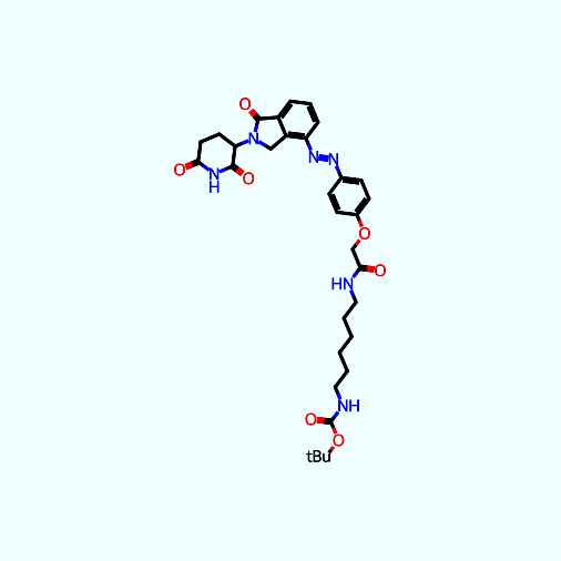 CC(C)(C)OC(=O)NCCCCCCNC(=O)COc1ccc(/N=N/c2cccc3c2CN(C2CCC(=O)NC2=O)C3=O)cc1